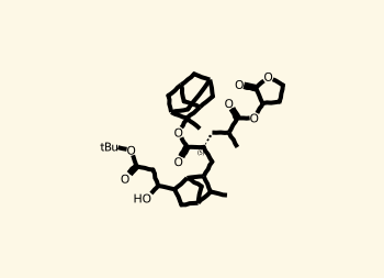 CC(C[C@H](CC1C(C)C2CC(C(O)CC(=O)OC(C)(C)C)C1C2)C(=O)OC1(C)C2CC3CC(C2)CC1C3)C(=O)OC1CCOC1=O